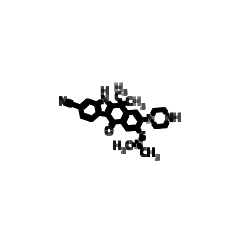 CN(C)Sc1cc2c(cc1N1CCNCC1)C(C)(C)c1[nH]c3cc(C#N)ccc3c1C2=O